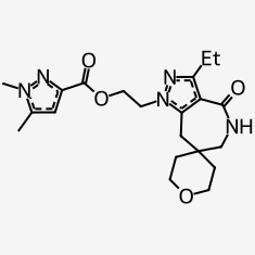 CCc1nn(CCOC(=O)c2cc(C)n(C)n2)c2c1C(=O)NCC1(CCOCC1)C2